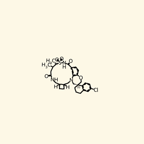 CC1CC(=O)NC[C@@H]2CC[C@H]2CN2C[C@@]3(CCCc4cc(Cl)ccc43)COc3ccc(cc32)C(=O)NS(=O)(=O)[C@@H]1C